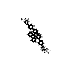 CC1(C)CSC(c2ccc(-c3ccc4c(c3)C3(c5ccccc5-c5ccccc53)c3cc(-c5ccc(C6=NC(C)(C)CS6)cc5)ccc3-4)cc2)=N1